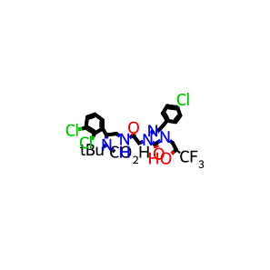 CC(C)(C)N(C(=O)O)C(CNC(=O)Cn1nc(-c2ccc(Cl)cc2)n(C[C@H](O)C(F)(F)F)c1=O)c1cccc(Cl)c1Cl